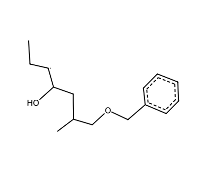 CC[CH]C(O)CC(C)COCc1ccccc1